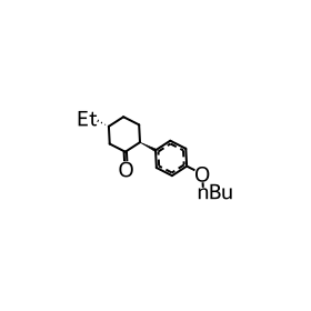 CCCCOc1ccc([C@@H]2CC[C@@H](CC)CC2=O)cc1